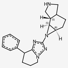 c1ccc(C2CCCn3nc(N4[C@H]5[C@@H]6CNCC6CC[C@H]54)nc32)cc1